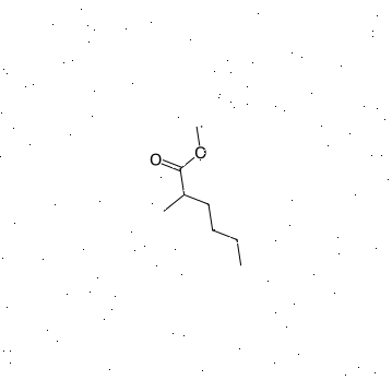 [CH2]OC(=O)C(C)CCCC